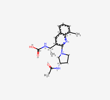 CC(=O)N[C@H]1CCN(c2nc3c(C)cccc3cc2[C@H](C)NC(=O)O)C1